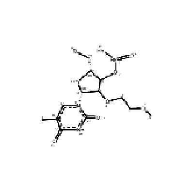 COCCOC1C(O[PH](=O)S)[C@@H](CO)O[C@H]1n1cc(C)c(=O)[nH]c1=O